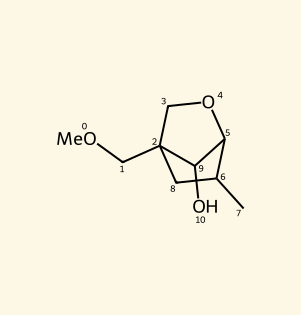 COCC12COC(C(C)C1)C2O